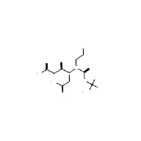 CCCN(C(=O)OC(C)(C)C)[C@@H](CC(C)C)C(=O)CC(=O)O